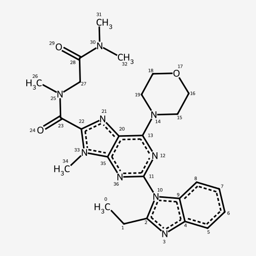 CCc1nc2ccccc2n1-c1nc(N2CCOCC2)c2nc(C(=O)N(C)CC(=O)N(C)C)n(C)c2n1